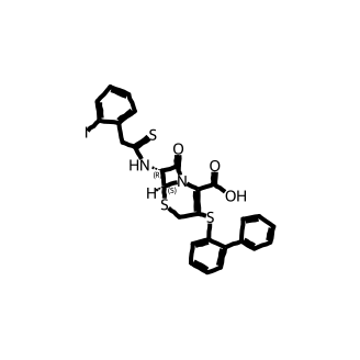 O=C(O)C1=C(Sc2ccccc2-c2ccccc2)CS[C@H]2[C@H](NC(=S)Cc3ccccc3I)C(=O)N12